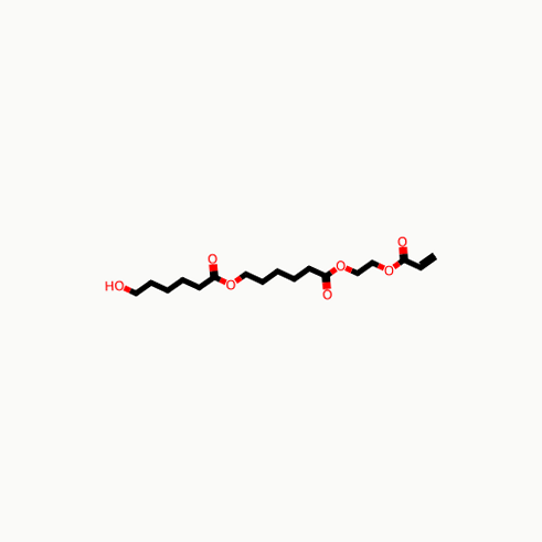 C=CC(=O)OCCOC(=O)CCCCCOC(=O)CCCCCO